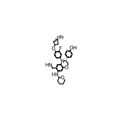 CCCN1CC(Oc2ccc(N3c4cc(C=N)c(NC5CCCCO5)cc4OC[C@H]3c3ccc(O)cc3)cc2F)C1